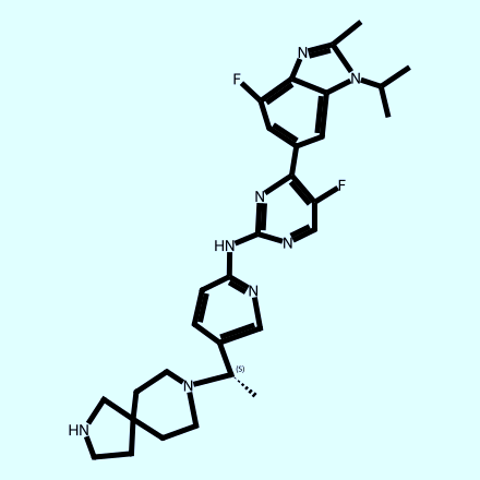 Cc1nc2c(F)cc(-c3nc(Nc4ccc([C@H](C)N5CCC6(CCNC6)CC5)cn4)ncc3F)cc2n1C(C)C